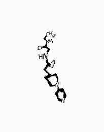 CCNC(=O)CNC(=O)CC1CCN(c2ccncc2)CC1